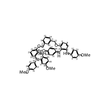 COc1ccc(Nc2cccc(OCc3cccc(COc4cccc(Nc5ccc(OC)cc5)c4Nc4ccc(OC)cc4)c3)c2Nc2ccc(OC)cc2)cc1